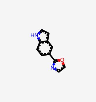 c1coc(-c2ccc3[nH]ccc3c2)n1